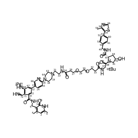 Cc1cc(C)c(CNC(=O)c2cc(-c3ccc(N4CCN(CCNC(=O)CCOCCOCCC(=O)N[C@H](C(=O)N5C[C@H](O)C[C@H]5C(=O)NCc5ccc(-c6scnc6C)cc5)C(C)(C)C)CC4)nc3)cc(NC(C)C)c2C=N)c(=O)[nH]1